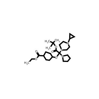 CCOC(=O)C1CCC(OC(C(=O)OC(C)(C)C)(N2CCCC2)N2CCN(C3CC3)CC2)CC1